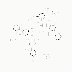 CCOC(=O)C[C@H](NC(=O)C(CC(C)C)n1cc(CCN2CCC2)c(C(F)(F)F)cc1=O)c1c(F)c(-c2c(C)cc(C)cc2C)cc(C2CC2)c1F.Cc1cc(C)c(-c2cc(C3CC3)c(F)c([C@H](CC(=O)O)NC(=O)C(CC(C)C)n3cc(CCN4CCC4)c(C(F)(F)F)cc3=O)c2F)c(C)c1